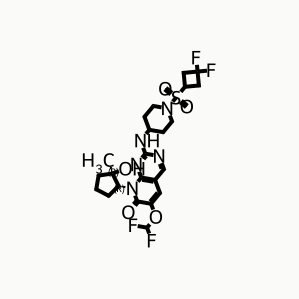 C[C@@]1(O)CCC[C@H]1n1c(=O)c(OC(F)F)cc2cnc(NC3CCN(S(=O)(=O)C4CC(F)(F)C4)CC3)nc21